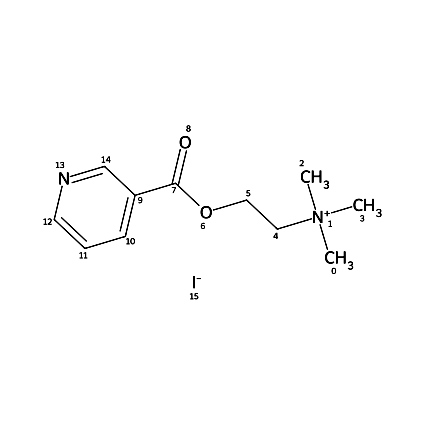 C[N+](C)(C)CCOC(=O)c1cccnc1.[I-]